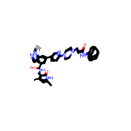 Cc1cc(C)c(CNC(O)c2cc(-c3ccc(N4CCN(CCC(=O)NC56CC7CC(CC(C7)C5)C6)CC4)nc3)cc3c2cnn3C(C)C)c(=O)[nH]1